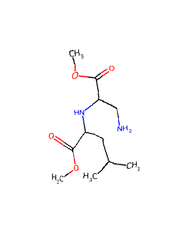 COC(=O)C(CN)NC(CC(C)C)C(=O)OC